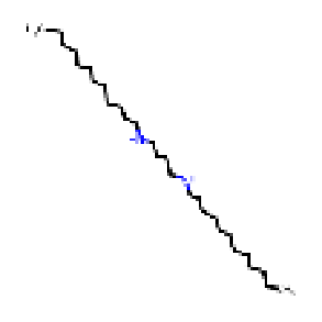 CCCCCCCCCCCCNCCCCNCCCCCCCCCCCC